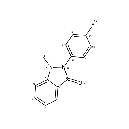 Cn1c2ccccc2c(=O)n1-c1ccc(F)cc1